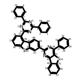 c1ccc(-c2nc(-c3ccccc3)nc(-c3cccc4sc5cc(-c6nc(-c7ccccc7)c7sc8ccccc8c7n6)ccc5c34)n2)cc1